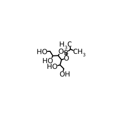 CC(C)B1OC(C(O)CO)C(C(O)CO)O1